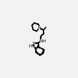 CC(CCNc1n[nH]c2ccccc12)N1CCCCC1